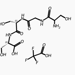 NC(CO)C(=O)NCC(=O)N[C@@H](CO)C(=O)N[C@@H](CO)C(=O)O.O=C(O)C(F)(F)F